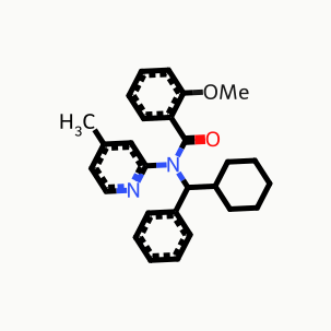 COc1ccccc1C(=O)N(c1cc(C)ccn1)C(c1ccccc1)C1CCCCC1